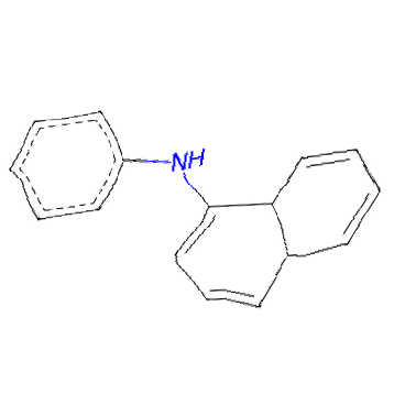 C1=CC2C=CC=C(Nc3ccccc3)C2C=C1